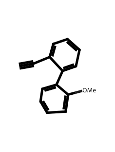 C#Cc1ccccc1-c1ccccc1OC